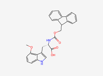 COc1cccc2[nH]cc(C[C@H](NC(=O)OCC3c4ccccc4-c4ccccc43)C(=O)O)c12